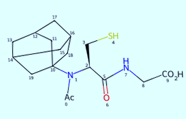 CC(=O)N([C@@H](CS)C(=O)NCC(=O)O)C12CC3CC(CC(C3)C1)C2